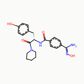 N/C(=N\O)c1ccc(C(=O)N[C@@H](Cc2ccc(O)cc2)C(=O)N2CC[CH]CC2)cc1